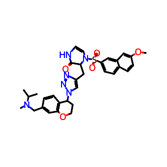 COc1ccc2ccc(S(=O)(=O)N3C=CNC(=O)C3Cc3cn(C4CCOc5cc(CN(C)C(C)C)ccc54)nn3)cc2c1